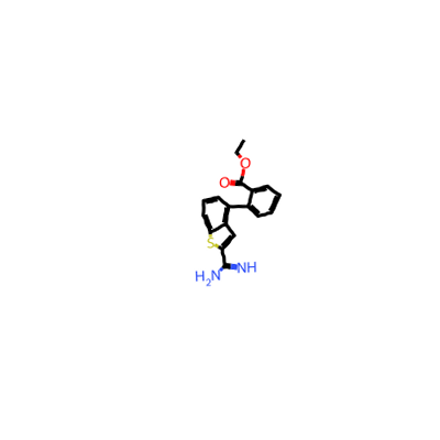 CCOC(=O)c1ccccc1-c1cccc2sc(C(=N)N)cc12